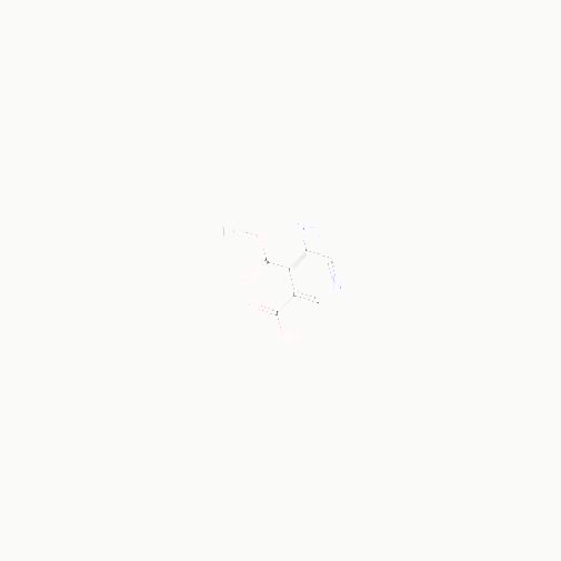 COC(=O)c1c(N)cncc1C(=O)O